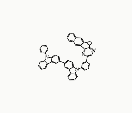 c1ccc(-n2c3ccccc3c3cc(-c4ccc5c(c4)c4ccccc4n5-c4cccc(-c5cnc6oc7cc8ccccc8cc7c6n5)c4)ccc32)cc1